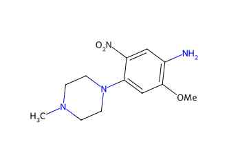 COc1cc(N2CCN(C)CC2)c([N+](=O)[O-])cc1N